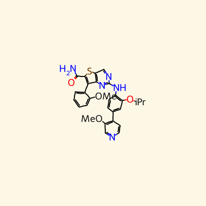 COc1cnccc1-c1ccc(Nc2ncc3sc(C(N)=O)c(-c4ccccc4OC)c3n2)c(OC(C)C)c1